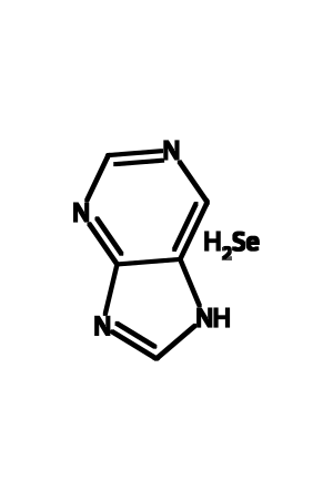 [SeH2].c1ncc2[nH]cnc2n1